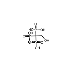 O=P(O)(O)C(CO)(P(=O)(O)O)S(=O)(=O)O